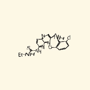 CCNC(=S)Nc1ccc2ncc(Nc3c(Cl)cccc3Cl)nc2n1